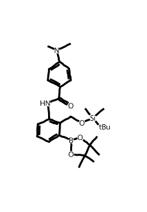 CN(C)c1ccc(C(=O)Nc2cccc(B3OC(C)(C)C(C)(C)O3)c2CO[Si](C)(C)C(C)(C)C)cc1